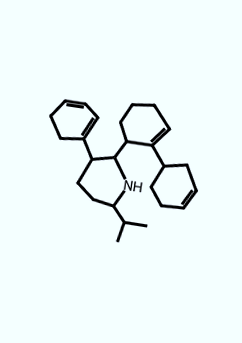 CC(C)C1CCC(C2=CC=CCC2)C(C2CCCC=C2C2CC=CCC2)N1